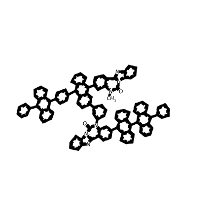 Cn1c(=O)n2c3ccccc3nc2c2ccc(-c3c4ccccc4c(-c4ccc(-c5c6ccccc6c(-c6ccccc6)c6ccccc56)cc4)c4ccc(-c5cccc(-n6c(=O)n7c8ccccc8nc7c7ccc(-c8c9ccccc9c(-c9c%10ccccc%10c(-c%10ccccc%10)c%10ccccc9%10)c9ccccc89)cc76)c5)cc34)cc21